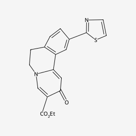 CCOC(=O)c1cn2c(cc1=O)-c1cc(-c3nccs3)ccc1CC2